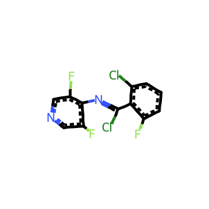 Fc1cncc(F)c1/N=C(\Cl)c1c(F)cccc1Cl